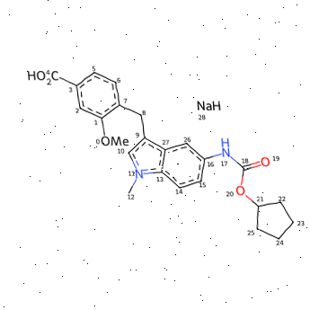 COc1cc(C(=O)O)ccc1Cc1cn(C)c2ccc(NC(=O)OC3CCCC3)cc12.[NaH]